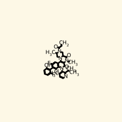 C=CC(=O)N1CC2C(=O)N(C)c3c(c4cc(F)c(-c5c(O)cccc5F)c(Cl)c4n(-c4c(C)ccnc4C(C)C)c3=O)N2CC1C